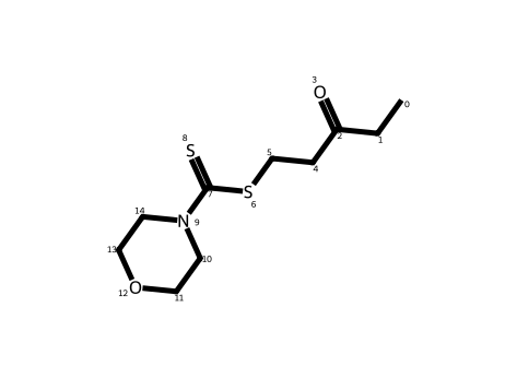 CCC(=O)CCSC(=S)N1CCOCC1